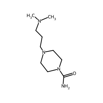 CN(C)CCCN1CCN(C(N)=O)CC1